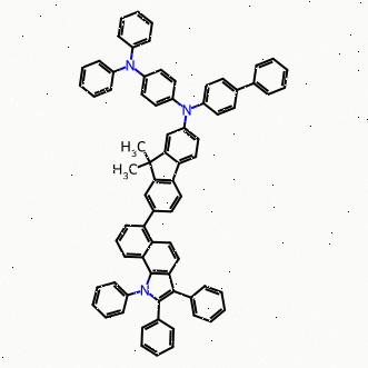 CC1(C)c2cc(-c3cccc4c3ccc3c(-c5ccccc5)c(-c5ccccc5)n(-c5ccccc5)c34)ccc2-c2ccc(N(c3ccc(-c4ccccc4)cc3)c3ccc(N(c4ccccc4)c4ccccc4)cc3)cc21